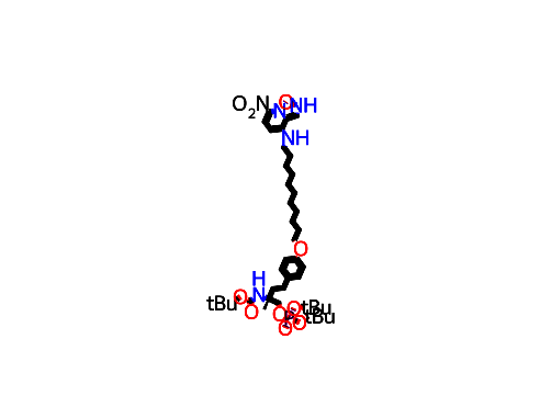 CC(C)(C)OC(=O)N[C@](C)(CCc1ccc(OCCCCCCCCCCCNC2=CC=C([N+](=O)[O-])N3ONC=C23)cc1)COP(=O)(OC(C)(C)C)OC(C)(C)C